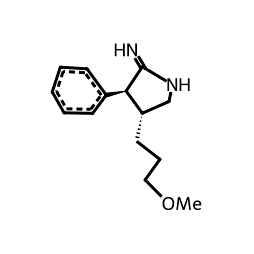 COCCC[C@H]1CNC(=N)[C@@H]1c1ccccc1